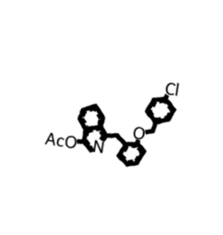 CC(=O)Oc1cnc(Cc2ccccc2OCc2ccc(Cl)cc2)c2ccccc12